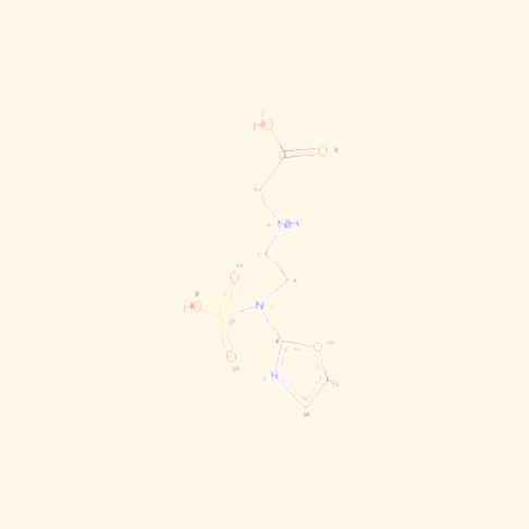 O=C(O)CNCCN(c1ncco1)S(=O)(=O)O